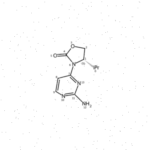 CC(C)[C@H]1COC(=O)N1c1ccnc(N)n1